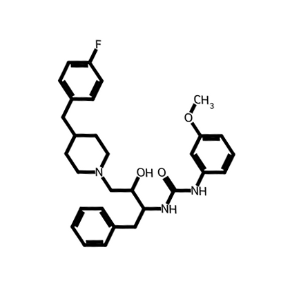 COc1cccc(NC(=O)NC(Cc2ccccc2)C(O)CN2CCC(Cc3ccc(F)cc3)CC2)c1